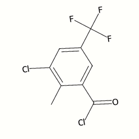 Cc1c(Cl)cc(C(F)(F)F)cc1C(=O)Cl